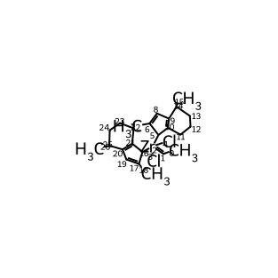 C[CH]=[Zr]([Cl])([Cl])([CH]1C(C)=CC2=C1CCCC2C)[CH]1C(C)=CC2=C1CCCC2C